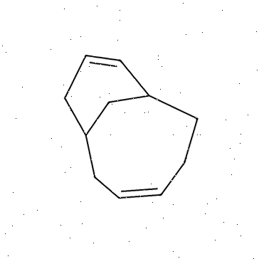 C1=CCC2CC=CC(CC1)C2